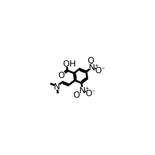 CN(C)C=Cc1c(C(=O)O)cc([N+](=O)[O-])cc1[N+](=O)[O-]